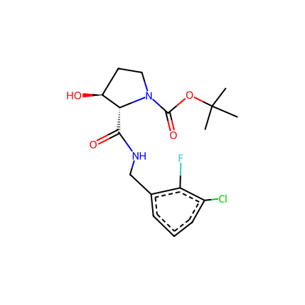 CC(C)(C)OC(=O)N1CC[C@H](O)[C@H]1C(=O)NCc1cccc(Cl)c1F